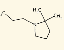 CCCN1CCCC1(C)C